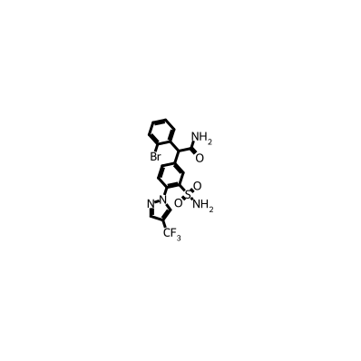 NC(=O)C(c1ccc(-n2cc(C(F)(F)F)cn2)c(S(N)(=O)=O)c1)c1ccccc1Br